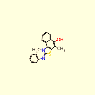 Cc1c(O)c2ccccc2c2c1sc(=Nc1ccccc1)n2C